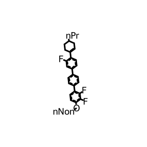 CCCCCCCCCOc1ccc(-c2ccc(-c3ccc(C4=CCC(CCC)CC4)c(F)c3)cc2)c(F)c1F